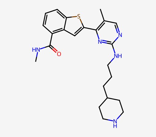 CNC(=O)c1cccc2sc(-c3nc(NCCCC4CCNCC4)ncc3C)cc12